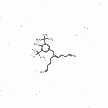 C=CCC/C=C(/CCCC=C)Cc1cc(C(C)(C)C)c(O)c(C(C)(C)C)c1